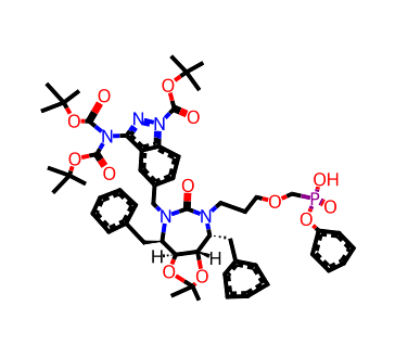 CC(C)(C)OC(=O)N(C(=O)OC(C)(C)C)c1nn(C(=O)OC(C)(C)C)c2ccc(CN3C(=O)N(CCCOCP(=O)(O)Oc4ccccc4)[C@H](Cc4ccccc4)[C@@H]4OC(C)(C)O[C@H]4[C@H]3Cc3ccccc3)cc12